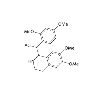 COc1ccc(C(C(C)=O)C2NCCc3cc(OC)c(OC)cc32)c(OC)c1